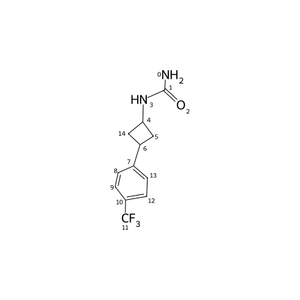 NC(=O)NC1CC(c2ccc(C(F)(F)F)cc2)C1